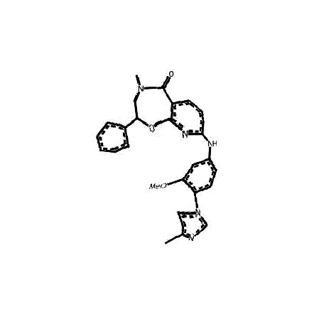 COc1cc(Nc2ccc3c(n2)OC(c2ccccc2)CN(C)C3=O)ccc1-n1cnc(C)c1